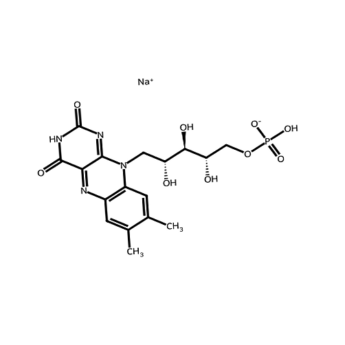 Cc1cc2nc3c(=O)[nH]c(=O)nc-3n(C[C@@H](O)[C@@H](O)[C@@H](O)COP(=O)([O-])O)c2cc1C.[Na+]